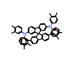 Cc1ccc(N(c2ccc(C)c(C)c2)c2ccc3c(c2)C2(c4cc(-c5ccccc5)ccc4-c4ccc(-c5ccccc5)cc42)c2cc(N(c4ccc(C)c(C)c4)c4ccc(C)c(C)c4)ccc2-3)cc1C